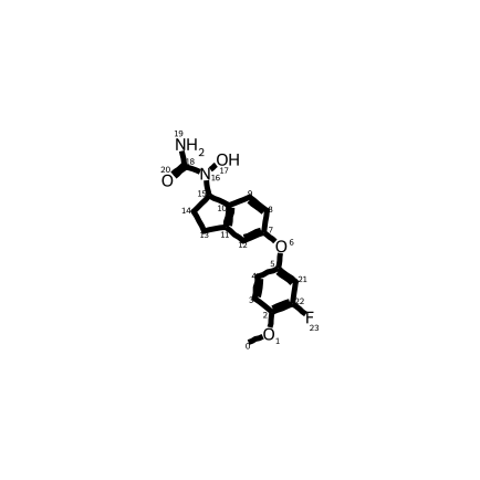 COc1ccc(Oc2ccc3c(c2)CCC3N(O)C(N)=O)cc1F